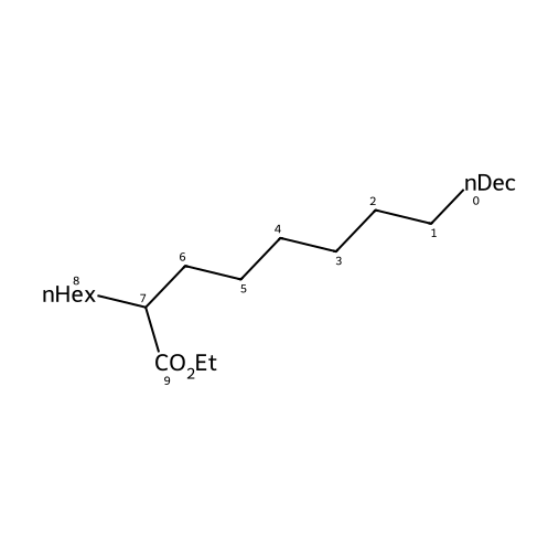 CCCCCCCCCCCCCCCCC(CCCCCC)C(=O)OCC